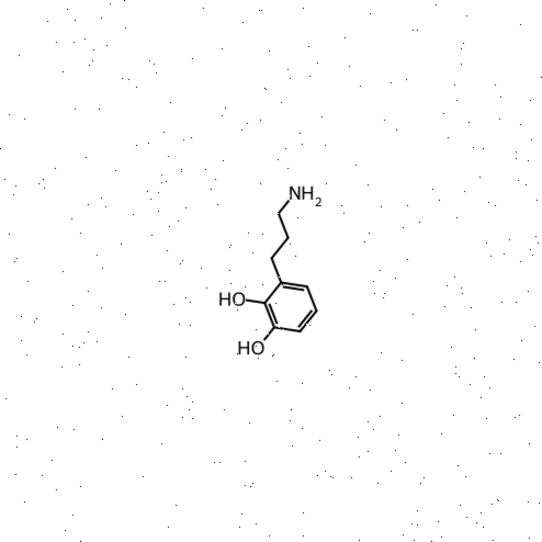 NCCCc1cccc(O)c1O